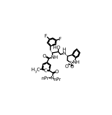 CCCN(CCC)C(=O)c1cc(C)cc(C(=O)N[C@H](Cc2cc(F)cc(F)c2)C(O)CN[C@H]2CS(=O)(=O)Nc3ccccc32)c1